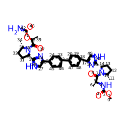 COC(=O)N[C@@H](C)C(=O)N1[C@@H](C)CC[C@H]1c1nc(-c2ccc(-c3ccc(-c4c[nH]c([C@@H]5CC[C@H](C)N5C(=O)[C@H](C)OC(N)=O)n4)cc3)cc2)c[nH]1